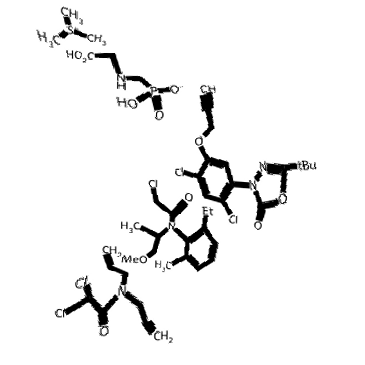 C#CCOc1cc(-n2nc(C(C)(C)C)oc2=O)c(Cl)cc1Cl.C=CCN(CC=C)C(=O)C(Cl)Cl.CCc1cccc(C)c1N(C(=O)CCl)C(C)COC.C[S+](C)C.O=C(O)CNCP(=O)([O-])O